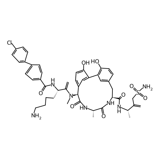 C=C(CS(N)(=O)=O)[C@H](C)NC(=O)[C@@H]1Cc2ccc(O)c(c2)-c2cc(ccc2O)[C@H](N(C)C(=C)[C@H](CCCCN)NC(=O)c2ccc(-c3ccc(Cl)cc3)cc2)C(=O)N[C@@H](C)C(=O)N1